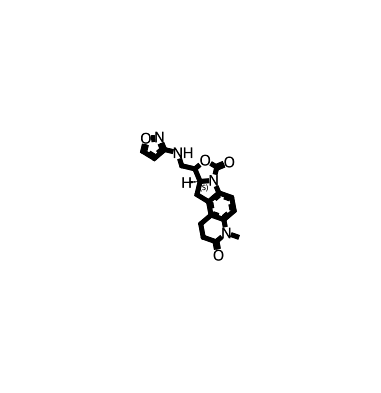 CN1C(=O)CCc2c1ccc1c2C[C@H]2C(CNc3ccon3)OC(=O)N12